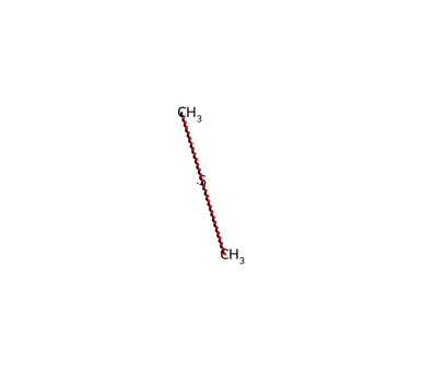 CCCCCCCCCCCCCCCCCCCCCCCCCCC[CH]SCCCCCCCCCCCCCCCCCCCCCCCCCC